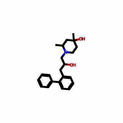 CC1CC(C)(O)CCN1CC(O)Cc1ccccc1-c1ccccc1